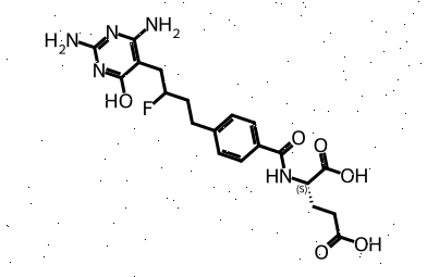 Nc1nc(N)c(CC(F)CCc2ccc(C(=O)N[C@@H](CCC(=O)O)C(=O)O)cc2)c(O)n1